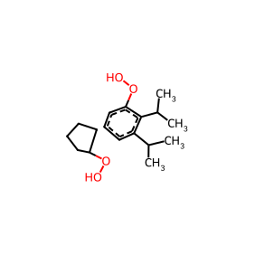 CC(C)c1cccc(OO)c1C(C)C.OOC1CCCC1